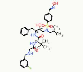 CC(C)CN(C[C@@H](O)[C@H](Cc1ccccc1)NC(=O)[C@H](NC(=O)CNCc1cccc(F)c1)C(C)(C)C)S(=O)(=O)c1ccc(C=NO)cc1